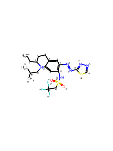 CCC1CCc2cc(N=Nc3nncs3)c(NS(=O)(=O)CC(F)(F)F)cc2N1CC(C)C